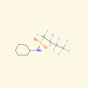 O=S(=O)(NC1CCCCC1)C(F)(F)C(F)(F)C(F)(F)C(F)(F)F